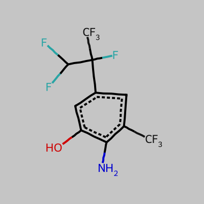 Nc1c(O)cc(C(F)(C(F)F)C(F)(F)F)cc1C(F)(F)F